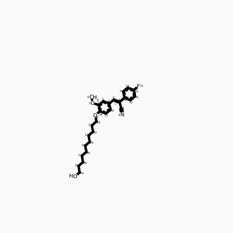 COc1cc(/C=C(\C#N)c2ccc(F)cc2)ccc1OCCCCCCCCCCCO